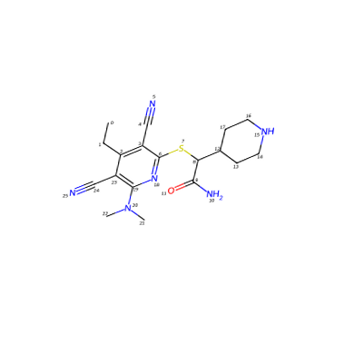 CCc1c(C#N)c(SC(C(N)=O)C2CCNCC2)nc(N(C)C)c1C#N